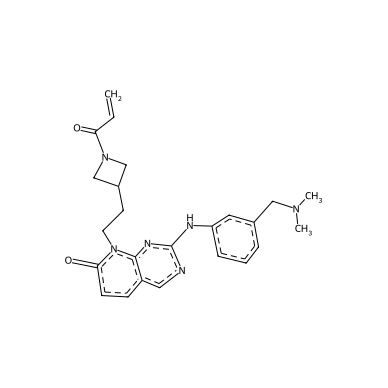 C=CC(=O)N1CC(CCn2c(=O)ccc3cnc(Nc4cccc(CN(C)C)c4)nc32)C1